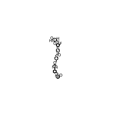 O=C1CCC(Nc2ccc(N3CCN(C(=O)CN4CCC(COc5cnc(-c6cccc(Cn7ncccc7=O)c6)nc5)CC4)CC3)cc2F)C(=O)N1